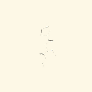 O=C(O)CNC(=O)[C@H](CS)NC(=O)[C@@H]1C[C@@H](O)CN1